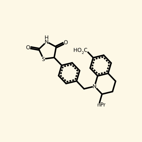 CCCC1CCc2ccc(C(=O)O)cc2N1Cc1ccc(C2SC(=O)NC2=O)cc1